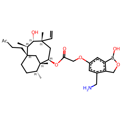 C=C[C@]1(C)C[C@@H](OC(=O)COc2cc(CN)c3c(c2)B(O)OC3)[C@@]2(C)C[C@](CCC(C)=O)(CC[C@H]2C)[C@@H](C)[C@@H]1O